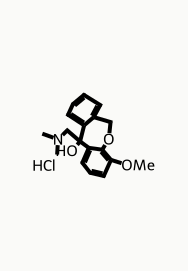 COc1cccc2c1OCc1ccccc1C2(O)CN(C)C.Cl